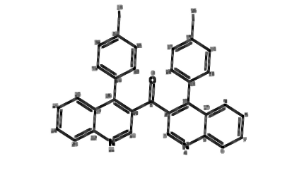 O=C(c1cnc2ccccc2c1-c1ccc(I)cc1)c1cnc2ccccc2c1-c1ccc(I)cc1